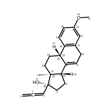 C=C=C[C@]1(O)CC[C@H]2C3=CCc4cc(OC)ccc4[C@H]3CC[C@@]21C